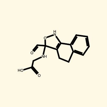 O=CC1(NCC(=O)O)ONC2=C1CCc1ccccc12